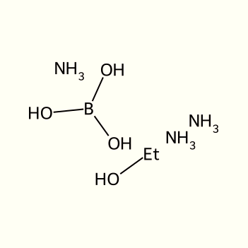 CCO.N.N.N.OB(O)O